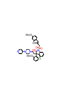 COc1ccc(C=CCS(=O)(=O)N2C(=O)C(CC(=O)N3CCN(c4ccncc4)CC3)(c3ccccc3OC)c3c(Cl)cccc32)c(OC)c1